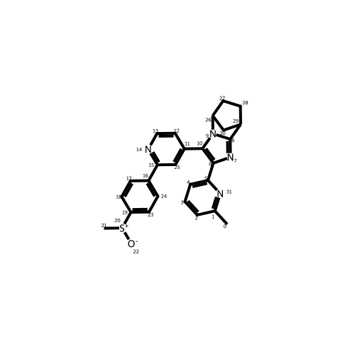 Cc1cccc(-c2nc3n(c2-c2ccnc(-c4ccc([S+](C)[O-])cc4)c2)C2CCC3C2)n1